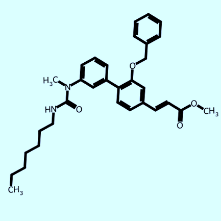 CCCCCCCNC(=O)N(C)c1cccc(-c2ccc(/C=C/C(=O)OC)cc2OCc2ccccc2)c1